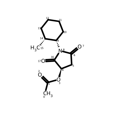 CC(=O)O[C@@H]1CC(=O)N([C@H]2CCCC[C@H]2C)C1=O